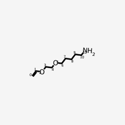 C=COCCOCCCCCN